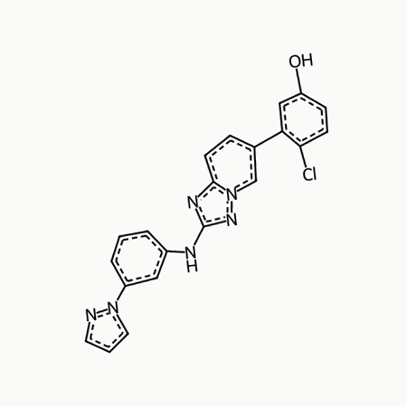 Oc1ccc(Cl)c(-c2ccc3nc(Nc4cccc(-n5cccn5)c4)nn3c2)c1